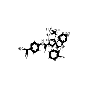 CC(=O)c1ccc(NC(=O)[C@H]2N[C@H](CC(C)(C)C)[C@]3(C(=O)Nc4cc(Cl)ccc43)[C@@H]2c2cccc(Cl)c2F)cc1